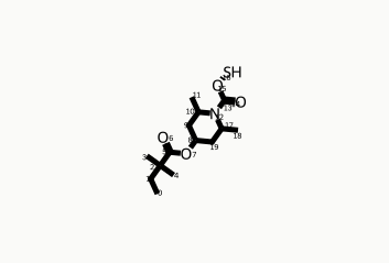 CCC(C)(C)C(=O)OC1CC(C)N(C(=O)OS)C(C)C1